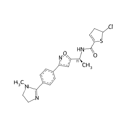 C[C@H](NC(=O)C1=CCC(Cl)S1)c1cc(-c2ccc(C3=NCCN3C)cc2)no1